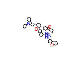 c1ccc(-c2nc(-c3ccc4oc5ccccc5c4c3)nc(-c3cccc4oc5ccc(-c6cccc7oc8c(-c9ccc%10c(c9)c9ccccc9n%10-c9ccccc9)cccc8c67)cc5c34)n2)cc1